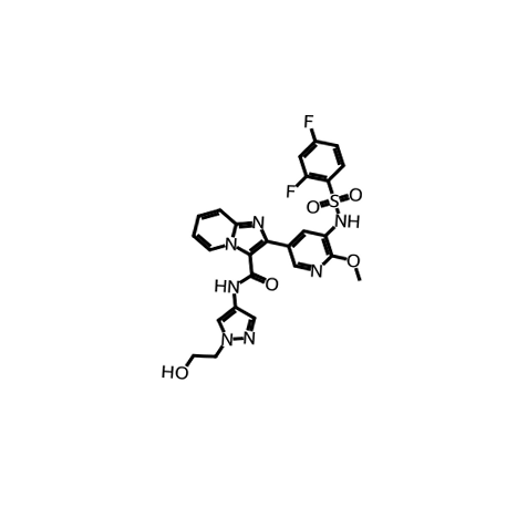 COc1ncc(-c2nc3ccccn3c2C(=O)Nc2cnn(CCO)c2)cc1NS(=O)(=O)c1ccc(F)cc1F